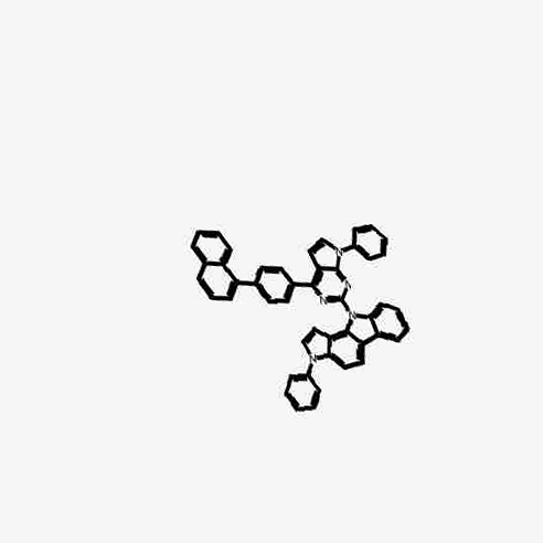 c1ccc(-n2ccc3c2ccc2c4ccccc4n(-c4nc(-c5ccc(-c6cccc7ccccc67)cc5)c5ccn(-c6ccccc6)c5n4)c23)cc1